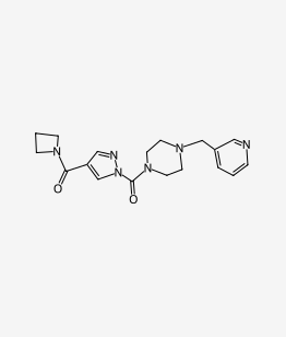 O=C(c1cnn(C(=O)N2CCN(Cc3cccnc3)CC2)c1)N1CCC1